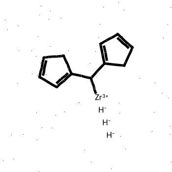 [H-].[H-].[H-].[Zr+3][CH](C1=CC=CC1)C1=CC=CC1